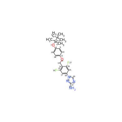 CC(C)(C)[Si](C)(C)Oc1ccc(OCc2c(F)cc(-n3cnc(N)n3)cc2F)cc1